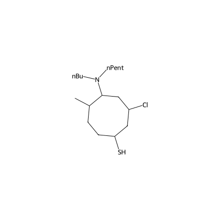 CCCCCN(CCCC)C1CC(Cl)CC(S)CCC1C